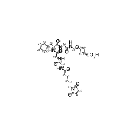 O=C(CCCCCN1C(=O)C=CC1=O)NCC(=O)NCC(=O)N[C@@H](Cc1ccccc1)C(=O)NCC(=O)NCOC1CC(C(=O)O)C1